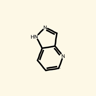 [c]1ccc2[nH]ncc2n1